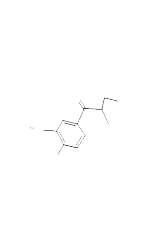 COc1cc(C(=O)C(O)CO)ccc1O